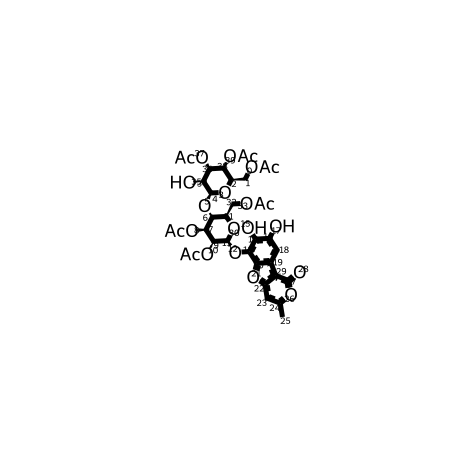 CC(=O)OC[C@H]1O[C@@H](O[C@H]2[C@H](OC(C)=O)[C@@H](OC(C)=O)[C@H](Oc3c(O)c(O)cc4c3oc3cc(C)oc(=O)c34)O[C@@H]2COC(C)=O)[C@H](O)[C@@H](OC(C)=O)[C@H]1OC(C)=O